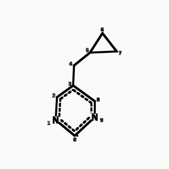 [c]1ncc(CC2CC2)cn1